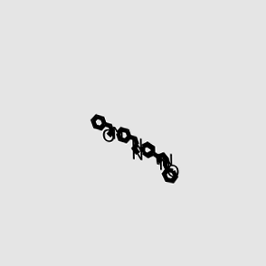 O=C(CC1CCCCC1)N1CCC(Cn2cnc3cc(-c4cnn(C5CCCCO5)c4)ccc32)CC1